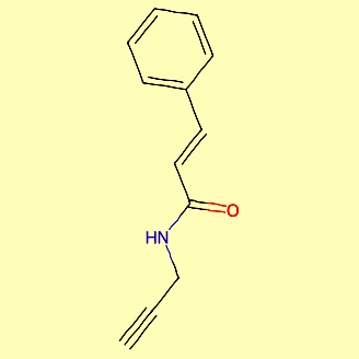 C#CCNC(=O)/C=C/c1ccccc1